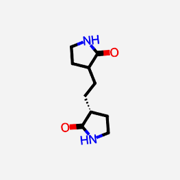 O=C1NCCC1CC[C@@H]1CCNC1=O